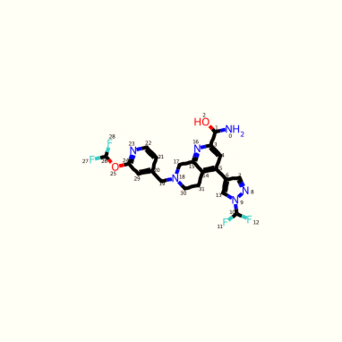 NC(O)c1cc(-c2cnn(C(F)F)c2)c2c(n1)CN(Cc1ccnc(OC(F)F)c1)CC2